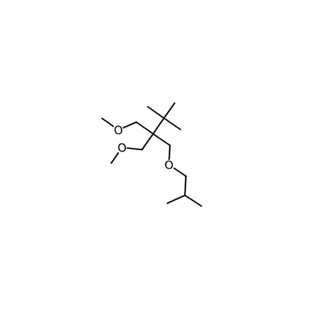 COCC(COC)(COCC(C)C)C(C)(C)C